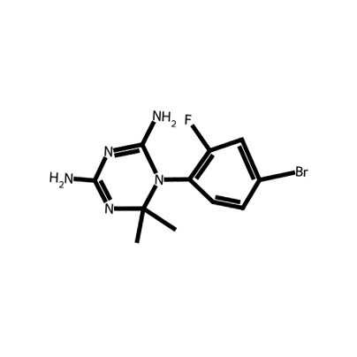 CC1(C)N=C(N)N=C(N)N1c1ccc(Br)cc1F